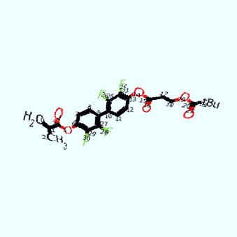 C=C(C)C(=O)Oc1ccc(-c2ccc(OC(=O)CCOC(=O)C(C)(C)C)c(F)c2F)c(F)c1F